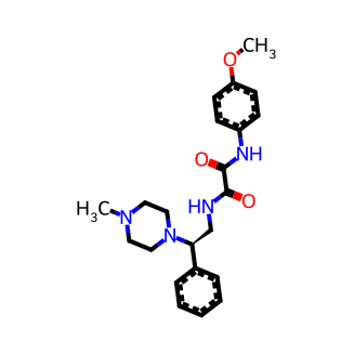 COc1ccc(NC(=O)C(=O)NC[C@@H](c2ccccc2)N2CCN(C)CC2)cc1